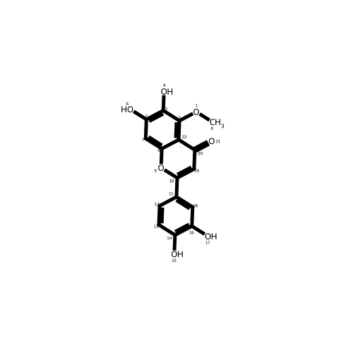 COc1c(O)c(O)cc2oc(-c3ccc(O)c(O)c3)cc(=O)c12